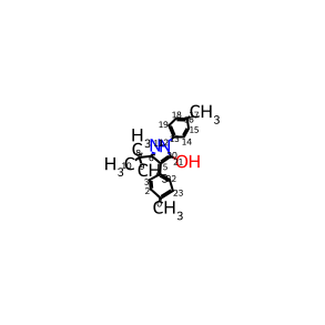 Cc1ccc(-c2c(C(C)(C)C)nn(-c3ccc(C)cc3)c2O)cc1